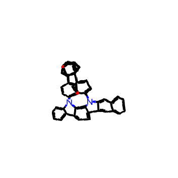 c1ccc(-c2ccc(-n3c4ccccc4c4ccc5c6cc7ccccc7cc6n(-c6ccc(-c7ccccc7)cc6)c5c43)cc2)cc1